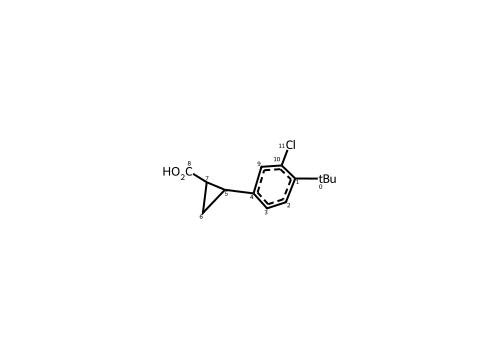 CC(C)(C)c1ccc(C2CC2C(=O)O)cc1Cl